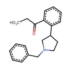 O=C(O)CC(=O)c1ccccc1C1CCN(Cc2ccccc2)C1